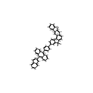 CC1(C)c2cc(-c3ccc(-c4c5ccccc5c(-c5ccc6ccccc6c5)c5ccccc45)cc3)ccc2-c2c1ccc1cc3oc4ccccc4c3cc21